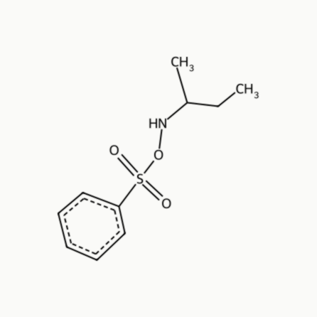 CCC(C)NOS(=O)(=O)c1ccccc1